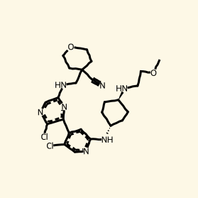 COCCN[C@H]1CC[C@H](Nc2cc(-c3nc(NCC4(C#N)CCOCC4)cnc3Cl)c(Cl)cn2)CC1